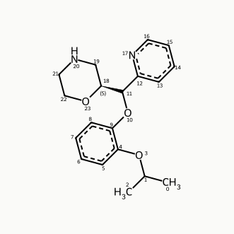 CC(C)Oc1ccccc1OC(c1ccccn1)[C@@H]1CNCCO1